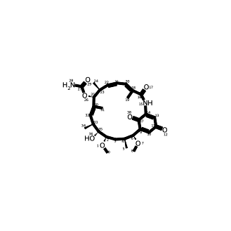 CO[C@H]1C[C@H](C)[C@@H](OC)C2=CC(=O)C=C(NC(=O)/C(C)=C/C=C\[C@H](C)[C@@H](OC(N)=O)/C(C)=C/[C@H](C)[C@H]1O)C2=O